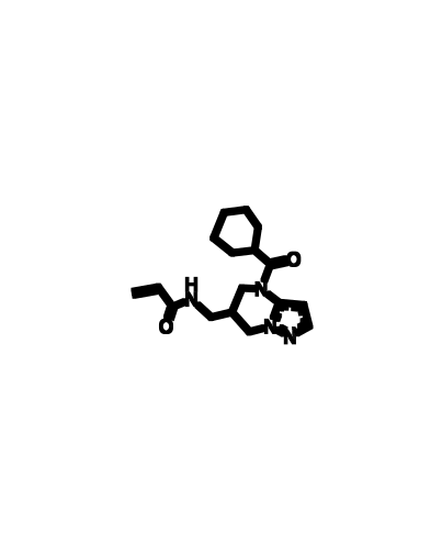 C=CC(=O)NCC1CN(C(=O)C2CCCCC2)c2ccnn2C1